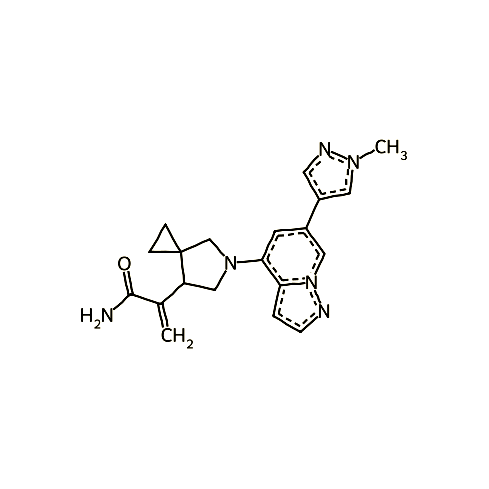 C=C(C(N)=O)C1CN(c2cc(-c3cnn(C)c3)cn3nccc23)CC12CC2